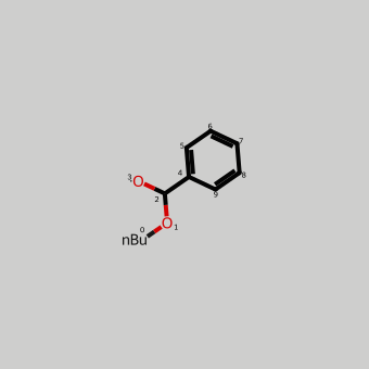 CCCCOC([O])c1ccccc1